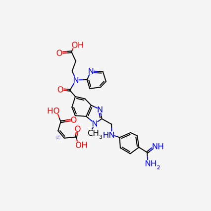 Cn1c(CNc2ccc(C(=N)N)cc2)nc2cc(C(=O)N(CCC(=O)O)c3ccccn3)ccc21.O=C(O)/C=C\C(=O)O